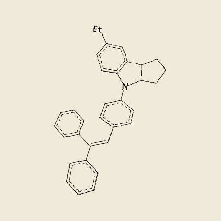 CCc1ccc2c(c1)C1CCCC1N2c1ccc(C=C(c2ccccc2)c2ccccc2)cc1